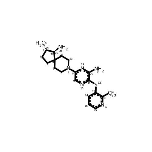 C[C@H]1CCC2(CCN(c3cnc(Sc4cccnc4C(F)(F)F)c(N)n3)CC2)[C@@H]1N